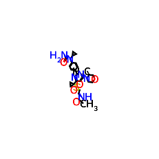 CC(=O)NCCS(=O)(=O)C1(c2cc(N3CCOC[C@@H]3C)nc(-c3ccc(N(C(N)=O)C4CC4)cc3)n2)CC1